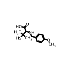 COc1ccc(CNC(C(=O)O)C(C)(C)S)cc1